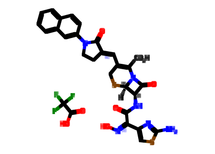 Nc1nc(/C(=N/O)C(=O)N[C@@H]2C(=O)N3C(C(=O)O)=C(/C=C4\CCN(c5ccc6ccccc6c5)C4=O)CS[C@H]23)cs1.O=C(O)C(F)(F)F